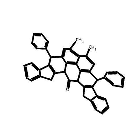 Cc1cc2c3c4c5c(cc(C)c14)C(c1ccccc1)C1=C(Cc4ccccc41)C5C(=O)C3C1=C(c3ccccc3C1)C2c1ccccc1